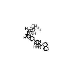 CC(C)(C)OC(=O)NC1[C@H]2C[C@H]2CC12CCN(c1cnc3c(N4CCCc5ncccc54)n[nH]c3n1)CC2